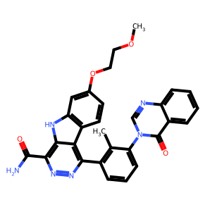 COCCOc1ccc2c(c1)[nH]c1c(C(N)=O)nnc(-c3cccc(-n4cnc5ccccc5c4=O)c3C)c12